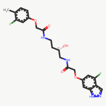 Cc1ccc(OCC(=O)NCC[C@H](O)CNC(=O)COc2cc(F)c3cn[nH]c3c2)cc1F